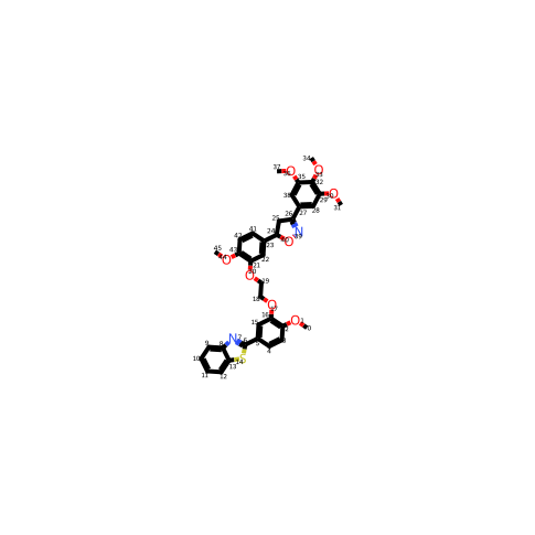 COc1ccc(-c2nc3ccccc3s2)cc1OCCOc1cc(C2CC(c3cc(OC)c(OC)c(OC)c3)=NO2)ccc1OC